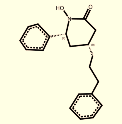 O=C1C[C@H](CCCc2ccccc2)C[C@H](c2ccccc2)N1O